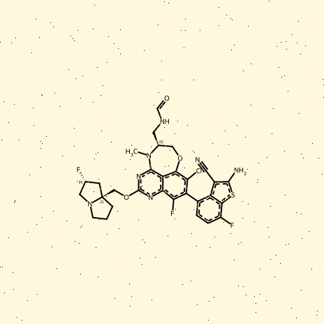 CN1c2nc(OC[C@@]34CCCN3C[C@H](F)C4)nc3c(F)c(-c4ccc(F)c5sc(N)c(C#N)c45)c(Cl)c(c23)OC[C@@H]1CNC=O